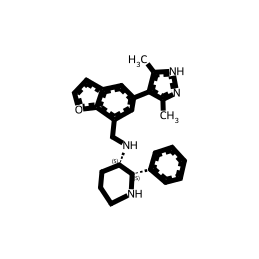 Cc1n[nH]c(C)c1-c1cc(CN[C@H]2CCCN[C@H]2c2ccccc2)c2occc2c1